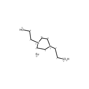 O=S(=O)(O)CCN1CCN(CCO)CC1.[Eu]